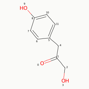 O=C(CO)Cc1ccc(O)cc1